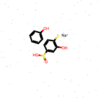 O=S(O)c1ccc([S-])c(O)c1.Oc1ccccc1.[Na+]